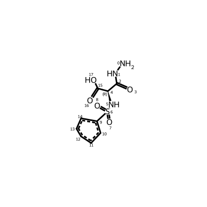 NNC(=O)[C@@H](NS(=O)(=O)c1ccccc1)C(=O)O